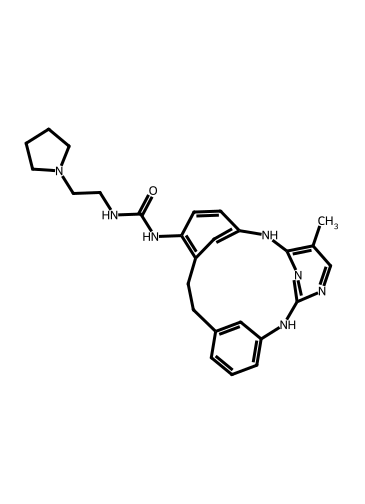 Cc1cnc2nc1Nc1ccc(NC(=O)NCCN3CCCC3)c(c1)CCc1cccc(c1)N2